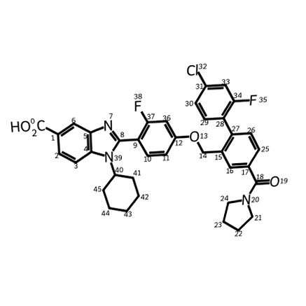 O=C(O)c1ccc2c(c1)nc(-c1ccc(OCc3cc(C(=O)N4CCCC4)ccc3-c3ccc(Cl)cc3F)cc1F)n2C1CCCCC1